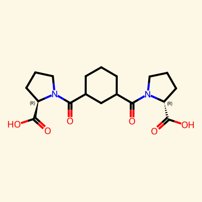 O=C(O)[C@H]1CCCN1C(=O)C1CCCC(C(=O)N2CCC[C@@H]2C(=O)O)C1